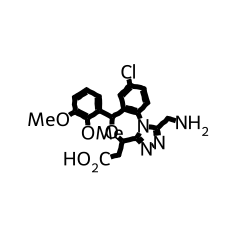 COc1cccc(C2OC(CC(=O)O)c3nnc(CN)n3-c3ccc(Cl)cc32)c1OC